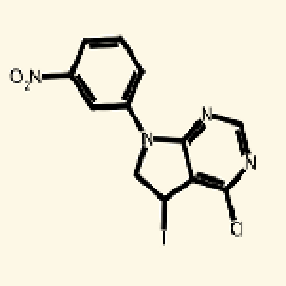 O=[N+]([O-])c1cccc(N2CC(I)c3c(Cl)ncnc32)c1